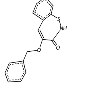 O=C1NSc2ccccc2C=C1OCc1ccccc1